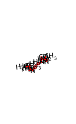 C=C1C[C@@H](c2ncc(-c3ccc(-c4ccc5cc(-c6cnc([C@@H]7CCCN7C(=O)[C@@H](NC(=O)OC)C(C)C)[nH]6)ccc5c4)cc3)[nH]2)N(C(=O)C(NC(=O)OC)c2cnccn2)C1